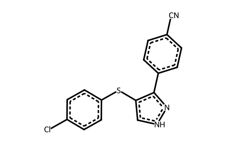 N#Cc1ccc(-c2n[nH]cc2Sc2ccc(Cl)cc2)cc1